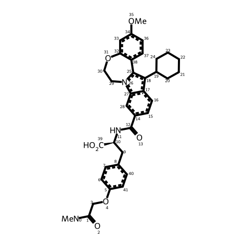 CNC(=O)COc1ccc(C[C@H](NC(=O)c2ccc3c(C4CCCCC4)c4n(c3c2)CCOc2cc(OC)ccc2-4)C(=O)O)cc1